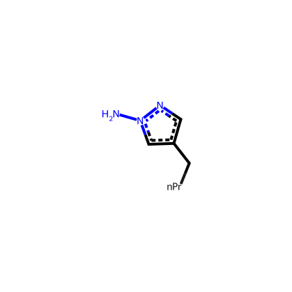 CCCCc1cnn(N)c1